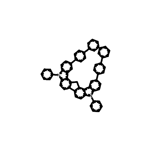 c1ccc(-c2ccc(-c3ccc4c(c3)c3c5c(ccc3n4-c3ccccc3)-c3ccc4c(c3C5)c3cc(-c5ccc(-c6ccccc6)cc5)ccc3n4-c3ccccc3)cc2)cc1